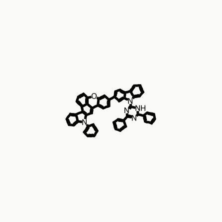 c1ccc(C2=NC(c3ccccc3)NC(n3c4ccccc4c4ccc(-c5ccc6c(c5)Oc5cccc7c5c-6cc5c7c6ccccc6n5-c5ccccc5)cc43)=N2)cc1